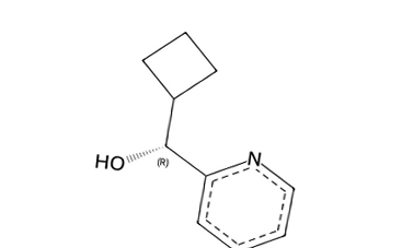 O[C@@H](c1ccccn1)C1CCC1